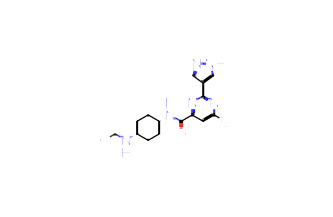 Cc1cc(C(=O)N[C@H]2CC[C@H](NCC(F)(F)F)CC2)nc(-c2cn[nH]c2)n1